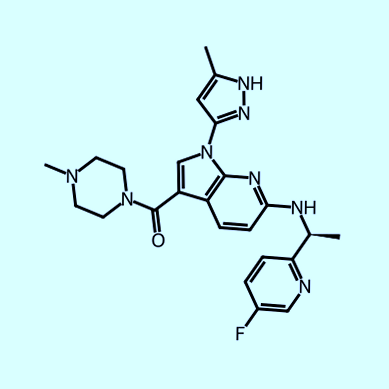 Cc1cc(-n2cc(C(=O)N3CCN(C)CC3)c3ccc(N[C@@H](C)c4ccc(F)cn4)nc32)n[nH]1